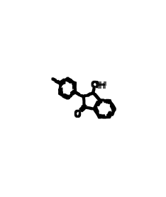 Cc1ccc(C2C(=O)c3ccccc3C2O)cc1